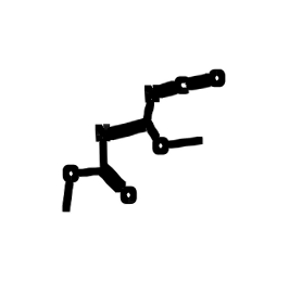 COC(=O)N=C(N=C=O)OC